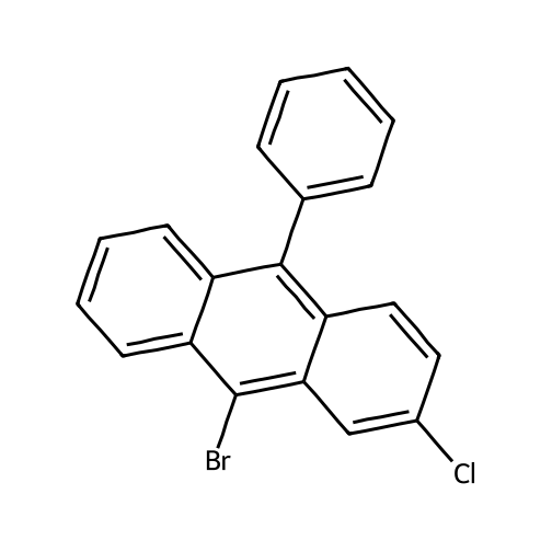 Clc1ccc2c(-c3ccccc3)c3ccccc3c(Br)c2c1